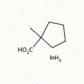 CC1(C(=O)O)CCCC1.[InH3]